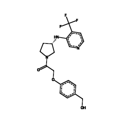 O=C(COc1ccc(CO)cc1)N1CC[C@H](Nc2cnccc2C(F)(F)F)C1